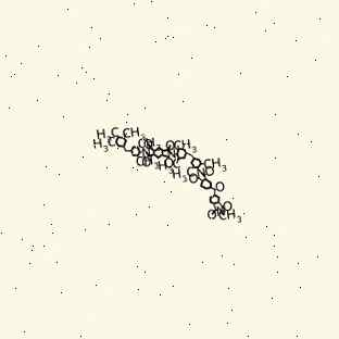 Cc1cc(Cc2cc(C)c(-n3c(=O)c4cc5c(=O)n(-c6c(C)cc(Cc7cc(C)c(N8C(=O)c9ccc(C(=O)c%10ccc%11c(c%10)C(=O)N(C)C%11=O)cc9C8=O)c(C)c7)cc6C)c(=O)c5cc4c3=O)c(C)c2)cc(C)c1C